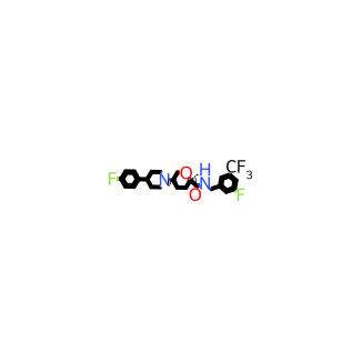 C[C@]1(C(=O)NCc2cc(F)cc(C(F)(F)F)c2)CC[C@@H](N2CCC(c3ccc(F)cc3)CC2)CO1